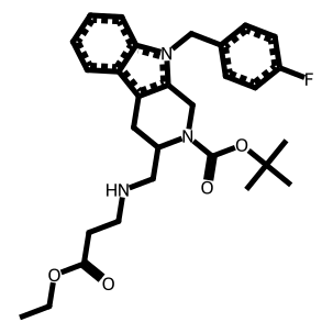 CCOC(=O)CCNCC1Cc2c(n(Cc3ccc(F)cc3)c3ccccc23)CN1C(=O)OC(C)(C)C